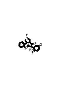 N[C@](C(=O)[C]1CCN(F)C1)(c1nc2ccccc2o1)c1cc(Cl)ccc1F